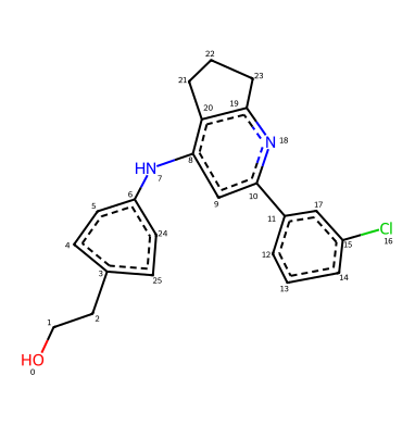 OCCc1ccc(Nc2cc(-c3cccc(Cl)c3)nc3c2CCC3)cc1